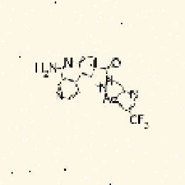 CC(=O)N(C)N(Cc1ccc(C(F)(F)F)cn1)C(=O)c1ccc2nc(N)c3cnccc3c2c1